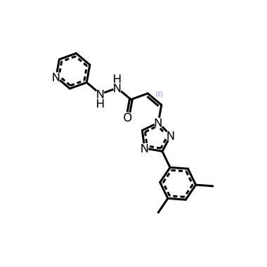 Cc1cc(C)cc(-c2ncn(/C=C\C(=O)NNc3cccnc3)n2)c1